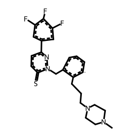 CN1CCN(CCCc2[c]cccc2Cn2nc(-c3cc(F)c(F)c(F)c3)ccc2=S)CC1